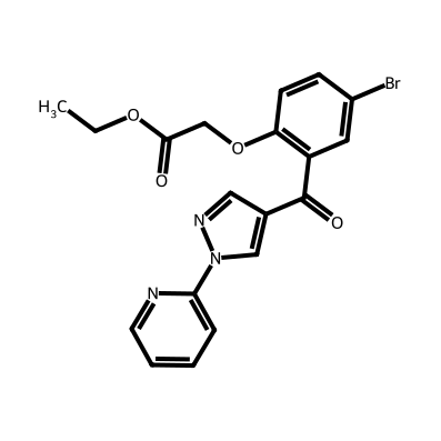 CCOC(=O)COc1ccc(Br)cc1C(=O)c1cnn(-c2ccccn2)c1